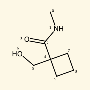 CNC(=O)C1(CO)CCC1